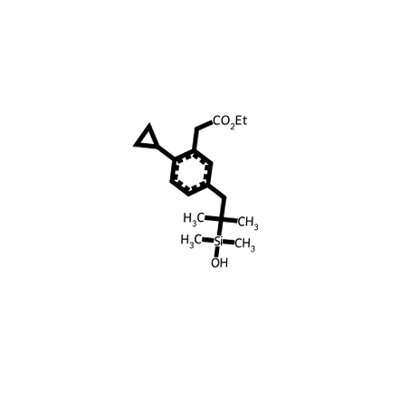 CCOC(=O)Cc1cc(CC(C)(C)[Si](C)(C)O)ccc1C1CC1